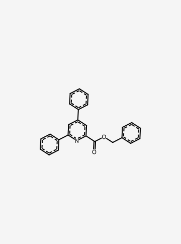 O=C(OCc1ccccc1)c1cc(-c2ccccc2)cc(-c2ccccc2)n1